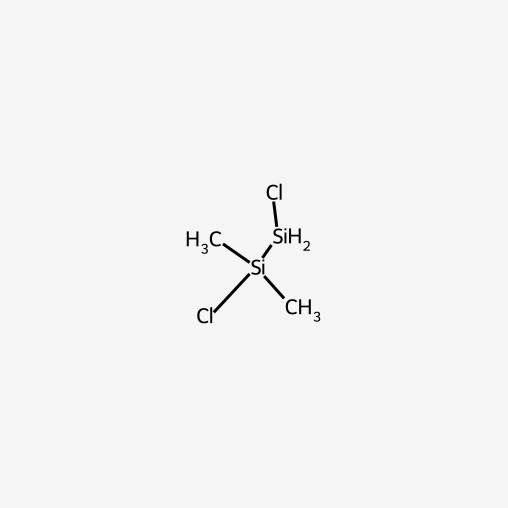 C[Si](C)(Cl)[SiH2]Cl